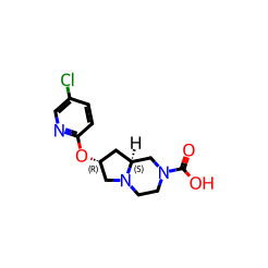 O=C(O)N1CCN2C[C@H](Oc3ccc(Cl)cn3)C[C@H]2C1